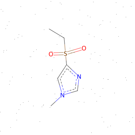 CCS(=O)(=O)c1cn(C)cn1